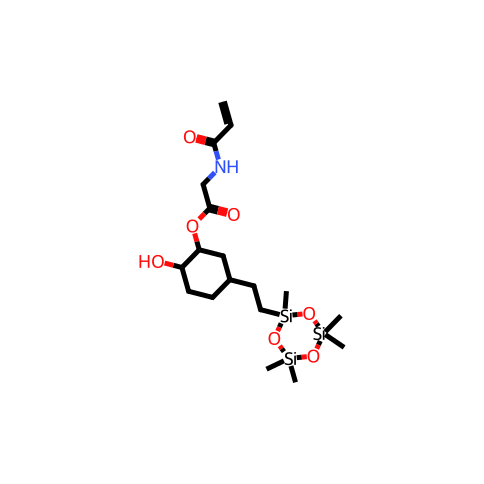 C=CC(=O)NCC(=O)OC1CC(CC[Si]2(C)O[Si](C)(C)O[Si](C)(C)O2)CCC1O